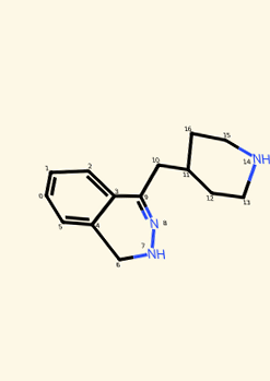 c1ccc2c(c1)CNN=C2CC1CCNCC1